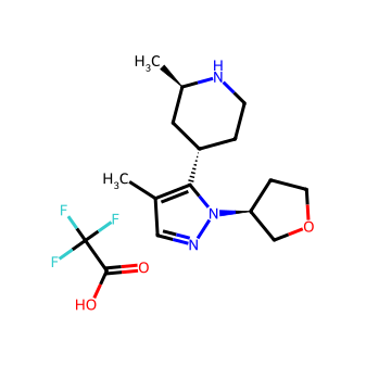 Cc1cnn([C@H]2CCOC2)c1[C@H]1CCN[C@H](C)C1.O=C(O)C(F)(F)F